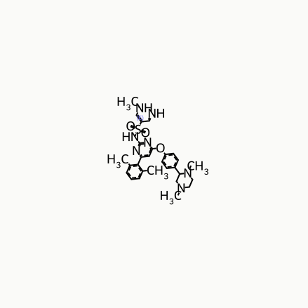 CN/C=C(\C=N)S(=O)(=O)Nc1nc(Oc2ccc(C3CN(C)CCN3C)cc2)cc(-c2c(C)cccc2C)n1